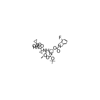 C=C[C@@H]1C[C@]1(NC(=O)[C@@H]1C[C@@H](OC(=O)N2Cc3cccc(F)c3C2)CN1C(=O)OC(C)(C)C)C(=O)NS(=O)(=O)C1CC1